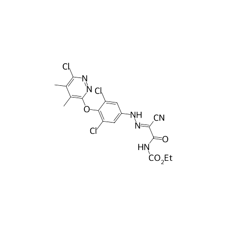 CCOC(=O)NC(=O)/C(C#N)=N/Nc1cc(Cl)c(Oc2nnc(Cl)c(C)c2C)c(Cl)c1